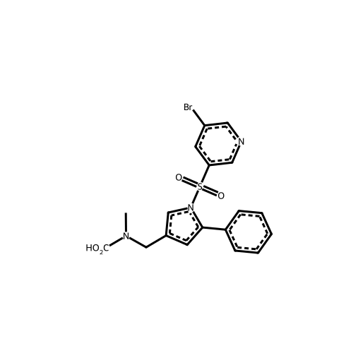 CN(Cc1cc(-c2ccccc2)n(S(=O)(=O)c2cncc(Br)c2)c1)C(=O)O